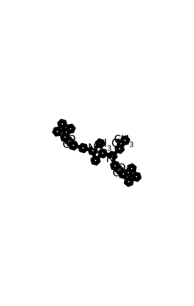 CC1(C)c2ccccc2-c2ccc(-c3cc(-c4cccc(-c5ccccc5-c5cc(-c6ccccc6)nc(-c6ccc(-c7ccc8c(c7)Oc7c(ccc9c7-c7ccccc7C9(c7ccccc7)c7ccccc7)O8)cc6)c5)c4)nc(-c4ccc5c(c4)Oc4c(ccc6c4-c4ccccc4C6(c4ccccc4)c4ccccc4)O5)c3)cc21